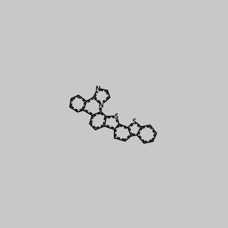 c1ccc2c(c1)sc1c2ccc2c3ccc4c5ccccc5c5nccn5c4c3sc21